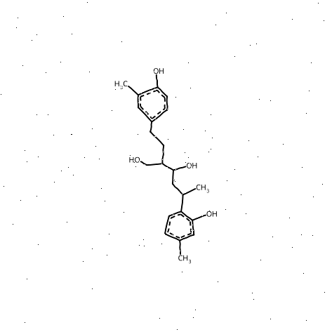 Cc1ccc(C(C)CC(O)C(CO)CCc2ccc(O)c(C)c2)c(O)c1